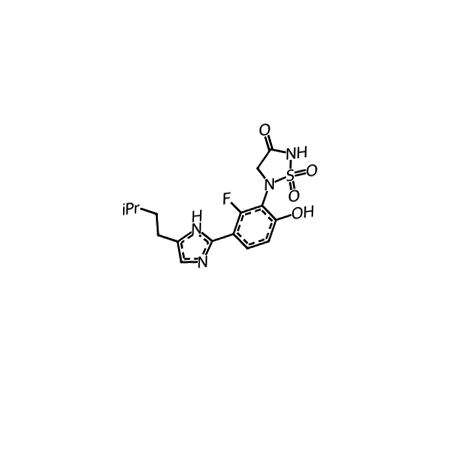 CC(C)CCc1cnc(-c2ccc(O)c(N3CC(=O)NS3(=O)=O)c2F)[nH]1